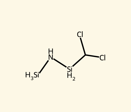 [SiH3]N[SiH2]C(Cl)Cl